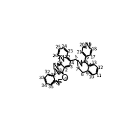 O=c1c2cc(CN3CCc4ccccc4C3c3ccncc3)c3ccccn3c-2nn1-c1ccccc1F